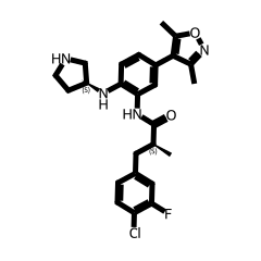 Cc1noc(C)c1-c1ccc(N[C@H]2CCNC2)c(NC(=O)[C@@H](C)Cc2ccc(Cl)c(F)c2)c1